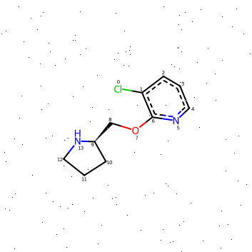 Clc1cccnc1OC[C@H]1CCCN1